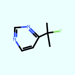 CC(C)(F)c1c[c]ncn1